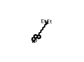 CCN(CC)CCCCCCCCc1cccc2c3c(ccc12)C=CC(C)(C)O3